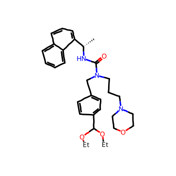 CCOC(OCC)c1ccc(CN(CCCN2CCOCC2)C(=O)N[C@@H](C)c2cccc3ccccc23)cc1